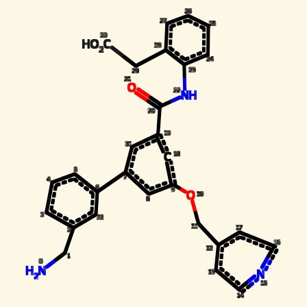 NCc1cccc(-c2cc(OCc3ccncc3)cc(C(=O)Nc3ccccc3CC(=O)O)c2)c1